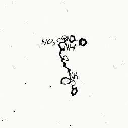 O=C(CCCCCNC(=O)OCc1ccccc1)CC1CNC(C(=O)N2CC[C@H](c3ccccc3)C2)C(C(=O)O)C1